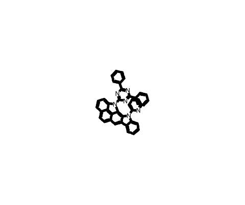 c1ccc(-c2nc(-c3ccccc3)nc(-n3c4cccc5ccc6cc7c8ccccc8n(-c8ccccn8)c7c3c6c54)n2)cc1